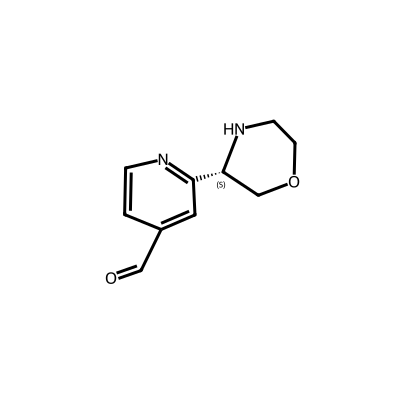 O=Cc1ccnc([C@H]2COCCN2)c1